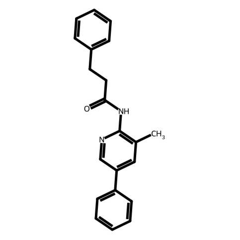 Cc1cc(-c2ccccc2)cnc1NC(=O)CCc1ccccc1